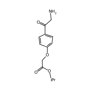 CC(C)OC(=O)COc1ccc(C(=O)CN)cc1